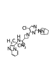 CC(C)(NC(=O)C1CN(c2nc(N3CC4CCC(C3)N4)ncc2Cl)C1)c1cnc2ccccn12